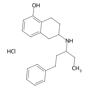 CCC(CCc1ccccc1)NC1CCc2c(O)cccc2C1.Cl